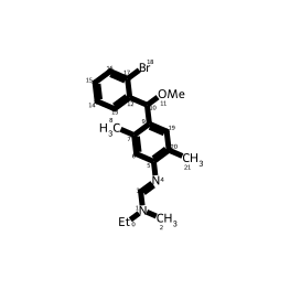 CCN(C)C=Nc1cc(C)c(C(OC)c2ccccc2Br)cc1C